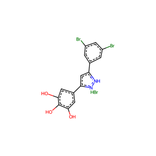 Br.Oc1cc(-c2cc(-c3cc(Br)cc(Br)c3)[nH]n2)cc(O)c1O